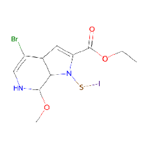 CCOC(=O)C1=CC2C(Br)=CNC(OC)C2N1SI